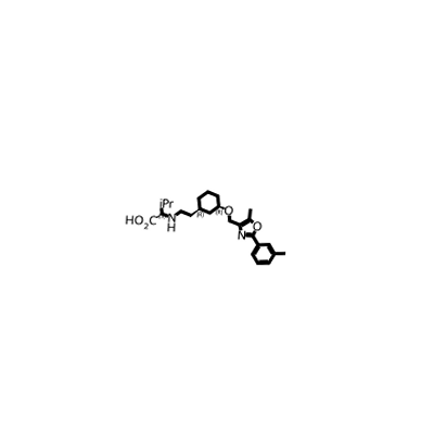 Cc1cccc(-c2nc(CO[C@@H]3CCC[C@H](CCN[C@H](C(=O)O)C(C)C)C3)c(C)o2)c1